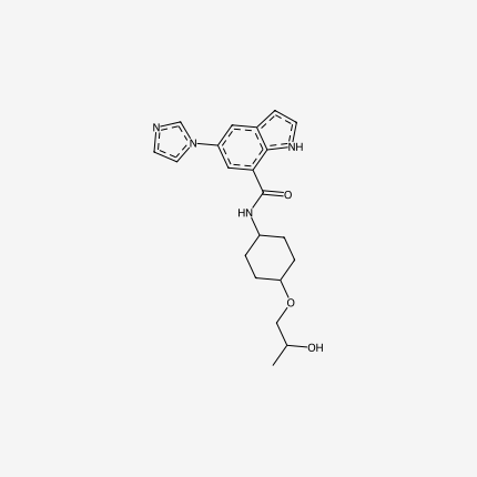 CC(O)COC1CCC(NC(=O)c2cc(-n3ccnc3)cc3cc[nH]c23)CC1